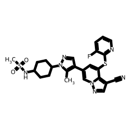 Cc1c(-c2cc(Sc3ncccc3F)c3c(C#N)cnn3c2)cnn1C1CCC(NS(C)(=O)=O)CC1